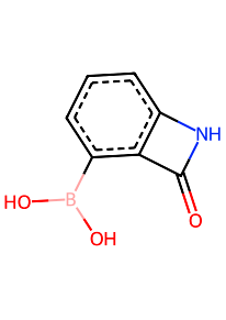 O=C1Nc2cccc(B(O)O)c21